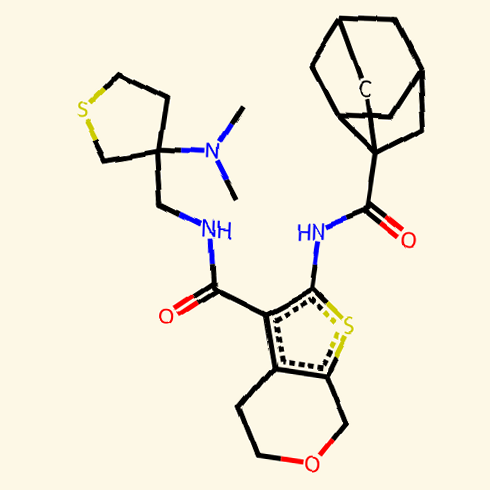 CN(C)C1(CNC(=O)c2c(NC(=O)C34CC5CC(CC3C5)C4)sc3c2CCOC3)CCSC1